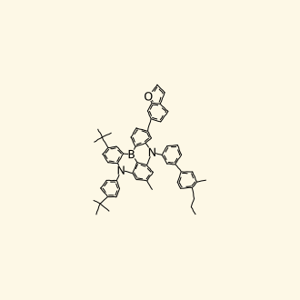 CCCc1ccc(-c2cccc(N3c4cc(-c5ccc6ccoc6c5)ccc4B4c5cc(C(C)(C)C)ccc5N(c5ccc(C(C)(C)C)cc5)c5cc(C)cc3c54)c2)cc1C